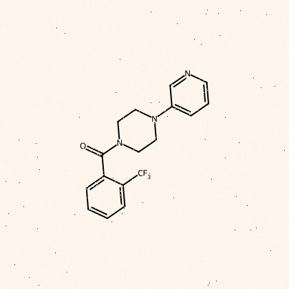 O=C(c1ccccc1C(F)(F)F)N1CCN(c2cccnc2)CC1